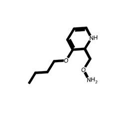 CCCCOC1=CC=CNC1CON